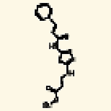 CC(C)(C)OC(=O)CCNc1nnc(NC(=O)/C=C/c2ccccc2)s1